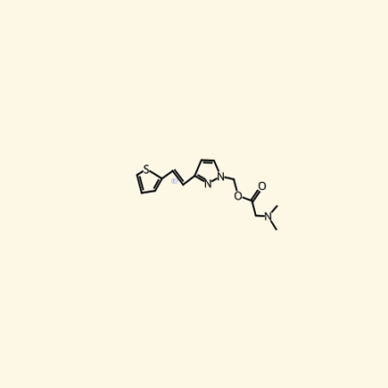 CN(C)CC(=O)OCn1ccc(/C=C/c2cccs2)n1